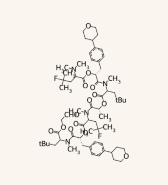 C[C@@H](OC(=O)C(CC(C)(C)C)N(C)C(=O)[C@@H](Cc1ccc(C2CCOCC2)cc1)OC(=O)C(CC(C)(C)F)N(C)C)C(=O)N(C)C(CC(C)(C)F)C(=O)O[C@H](Cc1ccc(C2CCOCC2)cc1)C(=O)N(C)C(CC(C)(C)C)C(=O)OCC=O